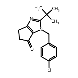 CC(C)(C)c1nc2c(n1Cc1ccc(Cl)cc1)C(=O)CC2